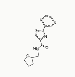 O=C(NCC1CCCO1)c1csc(-c2cnccn2)n1